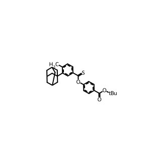 Cc1ccc(C(=S)Oc2ccc(C(=O)OC(C)(C)C)cc2)cc1C12CC3CC(CC(C3)C1)C2